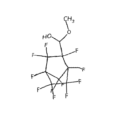 COC(O)C1(F)C(F)(F)C2(F)C(F)(F)C(F)(F)C1(F)C2(F)F